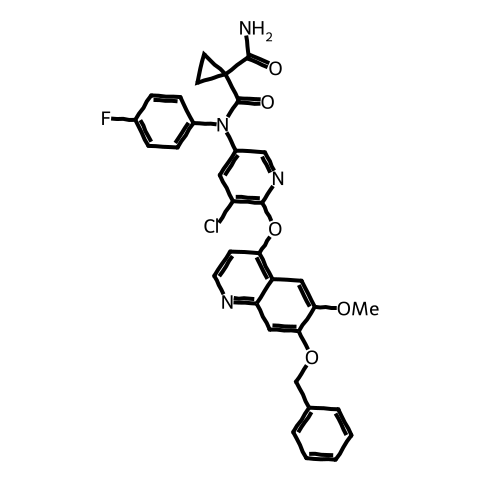 COc1cc2c(Oc3ncc(N(C(=O)C4(C(N)=O)CC4)c4ccc(F)cc4)cc3Cl)ccnc2cc1OCc1ccccc1